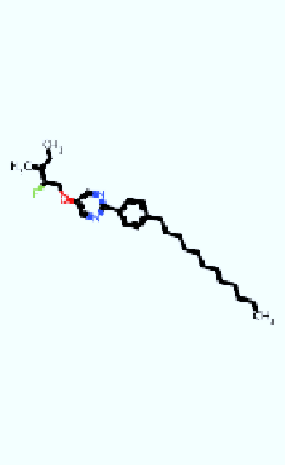 CCCCCCCCCCCCc1ccc(-c2ncc(OCC(F)C(C)CC)cn2)cc1